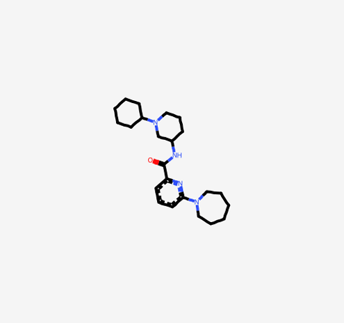 O=C(NC1CCCN(C2CCCCC2)C1)c1cccc(N2CCCCCC2)n1